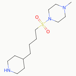 CN1CCN(S(=O)(=O)CCCCC2CCNCC2)CC1